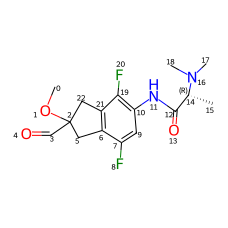 COC1(C=O)Cc2c(F)cc(NC(=O)[C@@H](C)N(C)C)c(F)c2C1